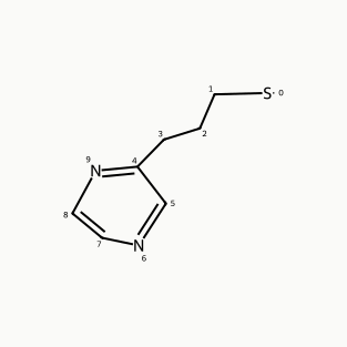 [S]CCCc1cnccn1